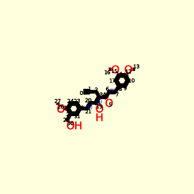 C#CC/C(C(=O)/C=C/c1ccc(OC)c(OC)c1)=C(O)\C=C\c1ccc(OC)c(CO)c1